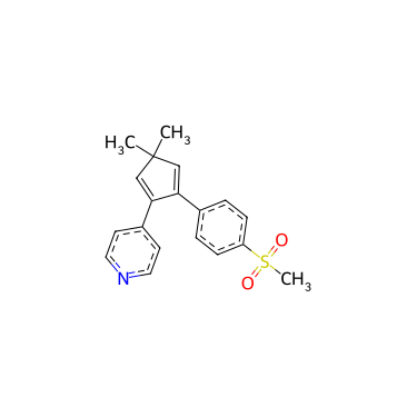 CC1(C)C=C(c2ccncc2)C(c2ccc(S(C)(=O)=O)cc2)=C1